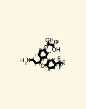 NCCC(Oc1ccc(C(F)(F)F)cc1)c1ccccc1.O=C(O)C(=O)O